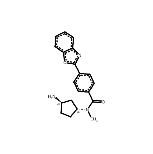 CN(C(=O)c1ccc(-c2nc3ccccc3o2)cc1)[C@@H]1CC[C@@H](N)C1